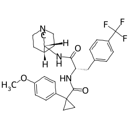 COc1ccc(C2(C(=O)N[C@@H](Cc3ccc(C(F)(F)F)cc3)C(=O)N[C@H]3C[N@]4CC[C@H]3CC4)CC2)cc1